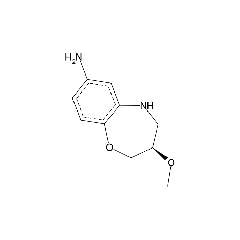 CO[C@@H]1CNc2cc(N)ccc2OC1